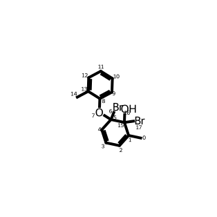 CC1=CC=CC(Br)(Oc2ccccc2C)C1(O)Br